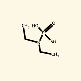 CCN(CC)P(=O)(O)S